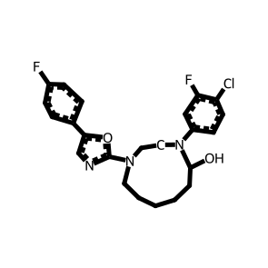 OC1CCCCCN(c2ncc(-c3ccc(F)cc3)o2)CCN1c1ccc(Cl)c(F)c1